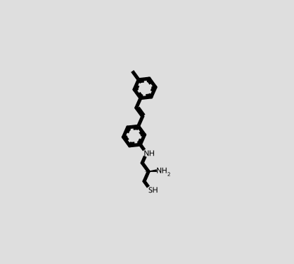 Cc1cccc(/C=C/c2cccc(NC[C@@H](N)CS)c2)c1